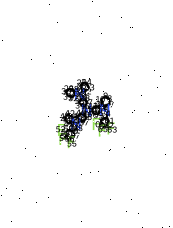 Fc1cc(Cn2c3ccccc3c3cc(N(c4ccc(N(c5ccccc5)c5ccccc5)cc4)c4ccc5c(c4)c4ccccc4n5Cc4cc(F)c(F)c(F)c4)ccc32)cc(F)c1F